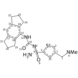 CNCc1csc([S@@](N)(=O)=NC(=O)Nc2c3c(cc4c2CCC4)CCC3)c1